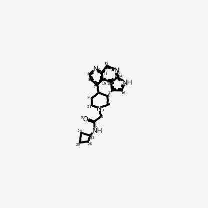 O=C(CN1CCC(c2ccnc3cnc4[nH]ccc4c23)CC1)NC1CCC1